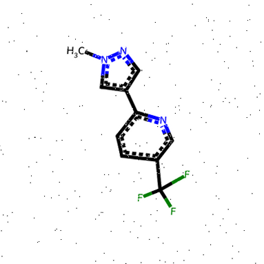 Cn1cc(-c2ccc(C(F)(F)F)cn2)[c]n1